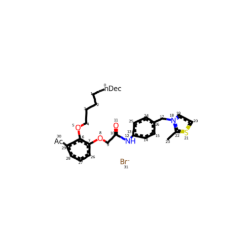 CCCCCCCCCCCCCCOc1c(OCC(=O)Nc2ccc(C[n+]3ccsc3C)cc2)cccc1C(C)=O.[Br-]